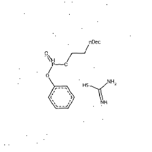 CCCCCCCCCCCCO[PH](=O)Oc1ccccc1.N=C(N)S